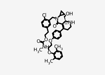 CNC(=O)OCCc1ccc(Cl)c(CN(C(=O)C2=C(c3ccc(OCCOc4c(C)cccc4C)cc3)CCN[C@@H]2CO)C2CC2)c1